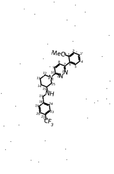 COc1ccccc1-c1ccc(N2CCCC(NCc3ccc(C(F)(F)F)cc3)C2)nn1